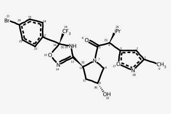 Cc1cc([C@@H](C(=O)N2C[C@H](O)C[C@H]2C2=NO[C@@](c3ccc(Br)cc3)(C(F)(F)F)N2)C(C)C)on1